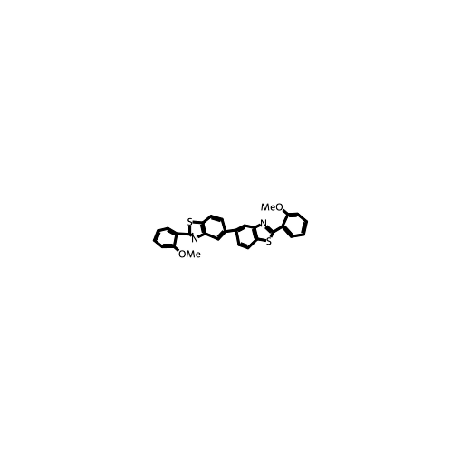 COc1ccccc1-c1nc2cc(-c3ccc4sc(-c5ccccc5OC)nc4c3)ccc2s1